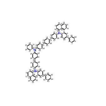 c1ccc(-c2ccc(N(c3ccc(-c4ccc(-c5ccc(N(c6ccccc6)c6ccc(-c7ccc(N(c8ccc(-c9ccccc9)cc8)c8cccc9ccccc89)cc7)cc6)cc5)cc4)cc3)c3cccc4ccccc34)cc2)cc1